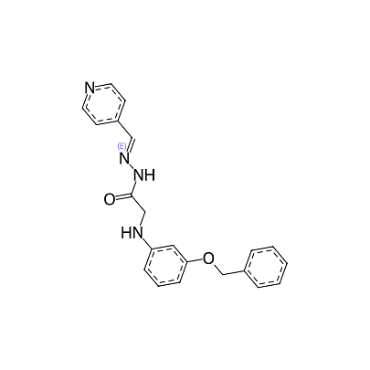 O=C(CNc1cccc(OCc2ccccc2)c1)N/N=C/c1ccncc1